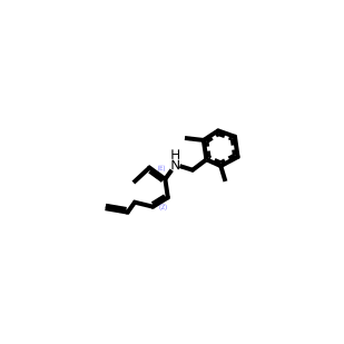 C=CC/C=C\C(=C/C)NCc1c(C)cccc1C